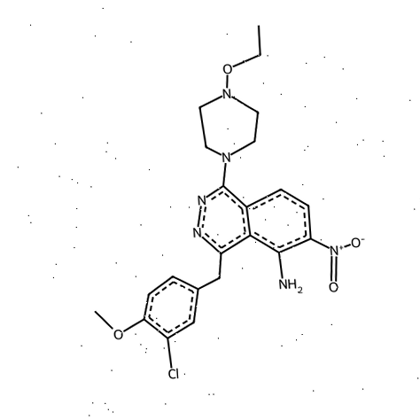 CCON1CCN(c2nnc(Cc3ccc(OC)c(Cl)c3)c3c(N)c([N+](=O)[O-])ccc23)CC1